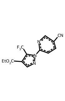 CCOC(=O)c1cnn(-c2ccc(C#N)cn2)c1C(F)(F)F